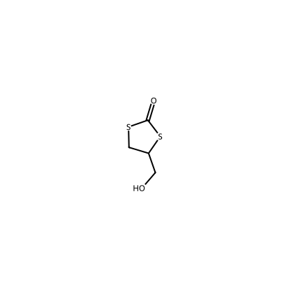 O=C1SCC(CO)S1